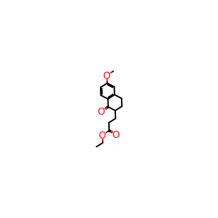 CCOC(=O)CCC1CCc2cc(OC)ccc2C1=O